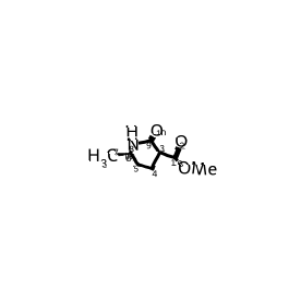 COC(=O)C1CC[C@@H](C)NC1=O